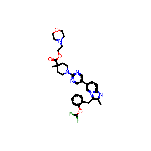 Cc1nc2ccc(-c3cnc(N4CCC(C)(C(=O)OCCN5CCOCC5)CC4)nc3)cn2c1Cc1ccccc1OC(F)F